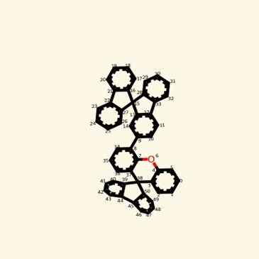 c1ccc2c(c1)Oc1c(-c3ccc4c(c3)C3(c5ccccc5-c5ccccc53)c3ccccc3-4)cccc1C21c2ccccc2-c2ccccc21